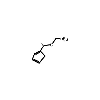 CCCCC[O][Ti][C]1=CC=CC1